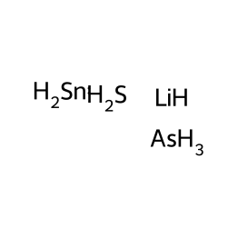 S.[AsH3].[LiH].[SnH2]